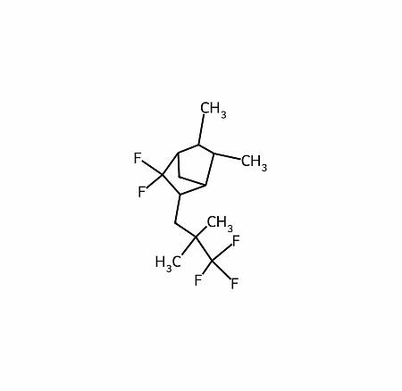 CC1C(C)C2CC1C(CC(C)(C)C(F)(F)F)C2(F)F